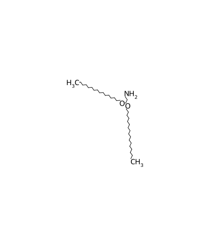 CCCCCCCCCCCCCCCCCCOC(CCN)OCCCCCCCCCCCCCCCC